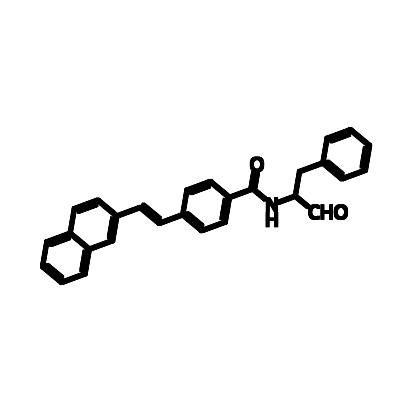 O=CC(Cc1ccccc1)NC(=O)c1ccc(C=Cc2ccc3ccccc3c2)cc1